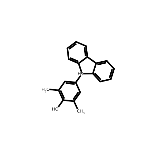 Cc1cc([SH]2c3ccccc3-c3ccccc32)cc(C)c1O